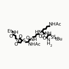 CCNC(=O)CCN1C(=O)CC(SCC(NC(C)=O)C(=O)NCCCC(=O)NC(CCCCNC(C)=O)C(=O)NC(CSSC(C)(C)C)C(N)=O)C1=O